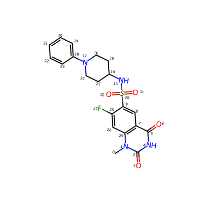 Cn1c(=O)[nH]c(=O)c2cc(S(=O)(=O)NC3CCN(c4ccccc4)CC3)c(F)cc21